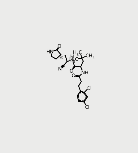 CC(C)(C)CC(NC(=O)CCc1ccc(Cl)cc1Cl)C(=O)NC(C#N)C[C@@H]1CCNC1=O